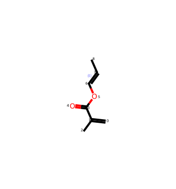 C=C(C)C(=O)O/C=C/C